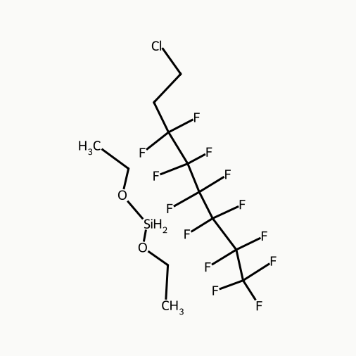 CCO[SiH2]OCC.FC(F)(F)C(F)(F)C(F)(F)C(F)(F)C(F)(F)C(F)(F)CCCl